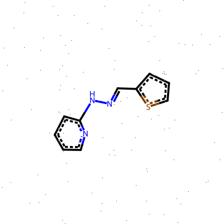 C(=NNc1ccccn1)c1cccs1